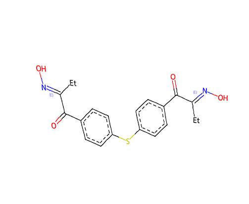 CC/C(=N\O)C(=O)c1ccc(Sc2ccc(C(=O)/C(CC)=N/O)cc2)cc1